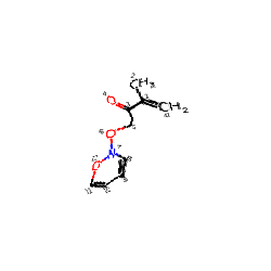 C=C(C)C(=O)CON1C=CC=CO1